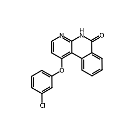 O=c1[nH]c2nccc(Oc3cccc(Cl)c3)c2c2ccccc12